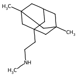 CNCCC12CC3CC(C)(CC(C)(C3)C1)C2